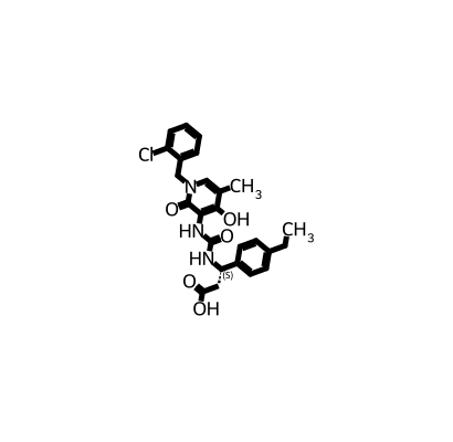 CCc1ccc([C@H](CC(=O)O)NC(=O)Nc2c(O)c(C)cn(Cc3ccccc3Cl)c2=O)cc1